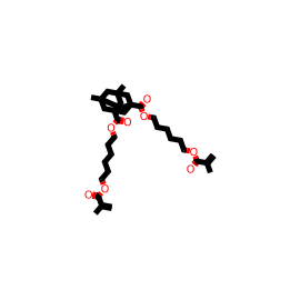 C=C(C)C(=O)OCCCCCCOC(=O)C12CC3(C)CC(C)(C1)CC(C(=O)OCCCCCCOC(=O)C(=C)C)(C3)C2